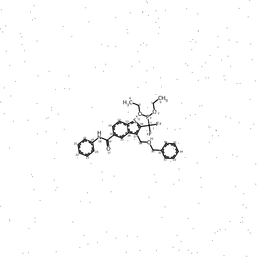 CCOP(OCC)C(F)(F)c1sc2ccc(C(=O)Nc3ccccc3)cc2c1COCc1ccccc1